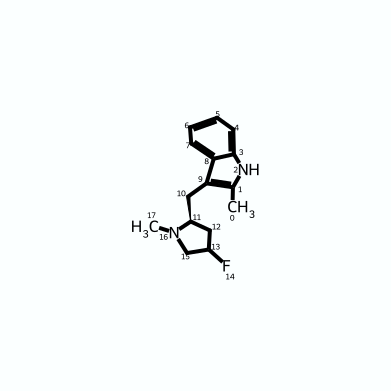 Cc1[nH]c2ccccc2c1C[C@H]1CC(F)CN1C